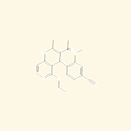 CCOc1nncc2c1C(c1ccc(C#N)cc1OC)C(C(C)=O)=C(C)N2